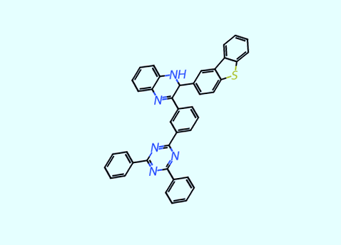 c1ccc(-c2nc(-c3ccccc3)nc(-c3cccc(C4=Nc5ccccc5NC4c4ccc5sc6ccccc6c5c4)c3)n2)cc1